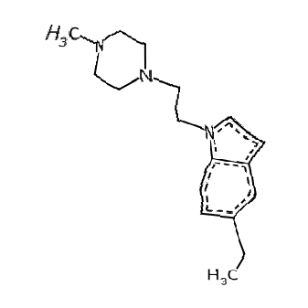 CCc1ccc2c(ccn2CCN2CCN(C)CC2)c1